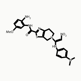 COc1ccc(N)c(NC(=O)c2nc3c(s2)CN(/C(=C\[N+](=O)[O-])Nc2ccc(N(C)C)cc2)CC3)c1